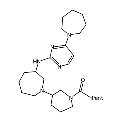 CCCC(C)C(=O)N1CCCC(N2CCCCC(Nc3nccc(N4CCCCCC4)n3)C2)C1